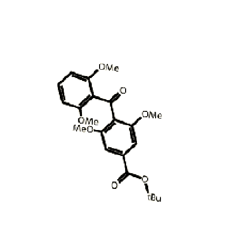 COc1cccc(OC)c1C(=O)c1c(OC)cc(C(=O)OC(C)(C)C)cc1OC